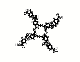 O=C(O)c1ccc(NS(=O)(=O)c2ccc3c(c2)-c2nc-3nc3[nH]c(nc4nc(nc5[nH]c(n2)c2ccc(S(=O)(=O)Nc6ccc(C(=O)O)cc6)cc52)-c2ccc(S(=O)(=O)Nc5ccc(C(=O)O)cc5)cc2-4)c2ccc(S(=O)(=O)Nc4ccc(C(=O)O)cc4)cc32)cc1